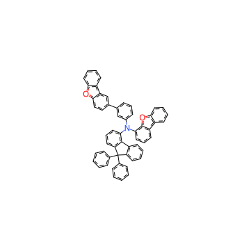 c1ccc(C2(c3ccccc3)c3ccccc3-c3c(N(c4cccc(-c5ccc6oc7ccccc7c6c5)c4)c4cccc5c4oc4ccccc45)cccc32)cc1